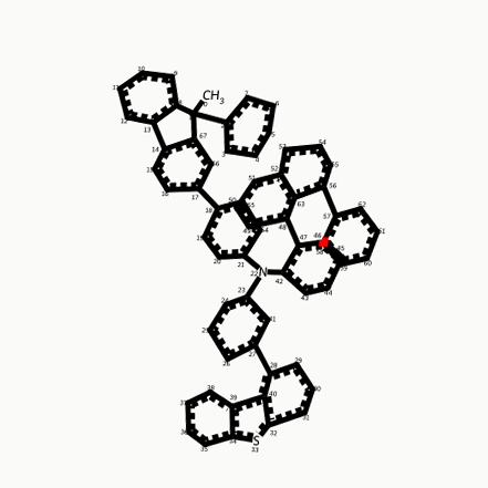 CC1(c2ccccc2)c2ccccc2-c2ccc(-c3ccc(N(c4cccc(-c5cccc6sc7ccccc7c56)c4)c4ccccc4-c4cccc5cccc(-c6ccccc6)c45)cc3)cc21